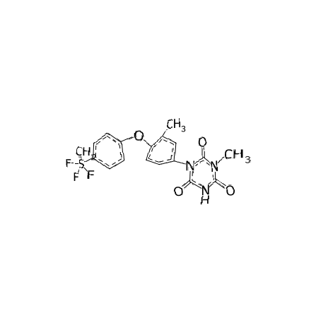 C=S(F)(F)(F)c1ccc(Oc2ccc(-n3c(=O)[nH]c(=O)n(C)c3=O)cc2C)cc1